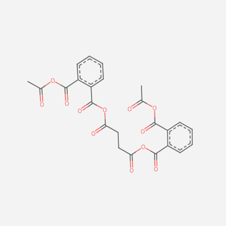 CC(=O)OC(=O)c1ccccc1C(=O)OC(=O)CCC(=O)OC(=O)c1ccccc1C(=O)OC(C)=O